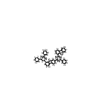 c1ccc(-c2cc(-c3cccc4c3sc3cc(-c5nc(-c6ccccc6)nc(-c6cccc7c6oc6ccccc67)n5)ccc34)nc(-c3ccccc3)n2)cc1